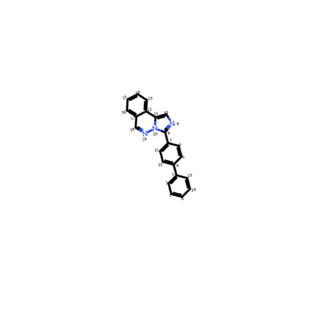 c1ccc(-c2ccc(-c3ncc4c5ccccc5cnn34)cc2)cc1